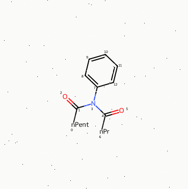 CCCCCC(=O)N(C(=O)CCC)c1cc[c]cc1